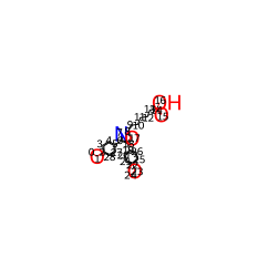 COc1ccc(-c2nc(CCCCCC(=O)O)oc2-c2ccc(OC)cc2)cc1